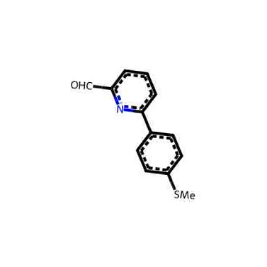 CSc1ccc(-c2cccc(C=O)n2)cc1